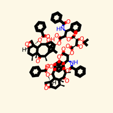 CC1=C2[C@@H](C)C(=O)[C@@]3(C)C([C@H](OC(=O)c4ccccc4)[C@](O)(C[C@@H]1OC(=O)[C@H](OC(=O)[C@@H]1OC(C)(C)O[C@H]1C(=O)O[C@@H](C(=O)O[C@H]1C[C@@]4(O)[C@@H](OC(=O)c5ccccc5)C5[C@]6(C)CO[C@@H]6C[C@H](C)[C@@]5(C)C(=O)[C@H](C)C(=C1C)C4(C)C)[C@@H](NC(=O)c1ccccc1)c1ccccc1)[C@@H](NC(=O)c1ccccc1)c1ccccc1)C2(C)C)[C@]1(C)CO[C@@H]1C[C@@H]3C